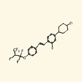 CCC1CCC(c2ccc(C=Cc3ccc(OC(F)(F)C(F)C(F)(F)F)cc3)c(F)c2)CC1